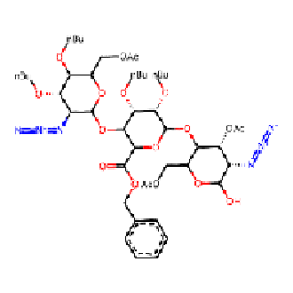 CCCCOC1C(COC(C)=O)OC(OC2C(C(=O)OCc3ccccc3)OC(OC3C(COC(C)=O)OC(O)[C@@H](N=[N+]=[N-])[C@H]3OC(C)=O)[C@@H](OCCCC)[C@H]2OCCCC)[C@@H](N=[N+]=[N-])[C@@H]1OCCCC